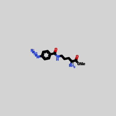 COC(=O)[C@@H](N)CCCNC(=O)c1ccc(N=[N+]=[N-])cc1